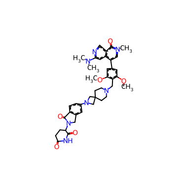 COc1cc(-c2cn(C)c(=O)c3cnc(N(C)C)cc23)cc(OC)c1CN1CCC2(CC1)CN(c1ccc3c(c1)CN(C1CCC(=O)NC1=O)C3=O)C2